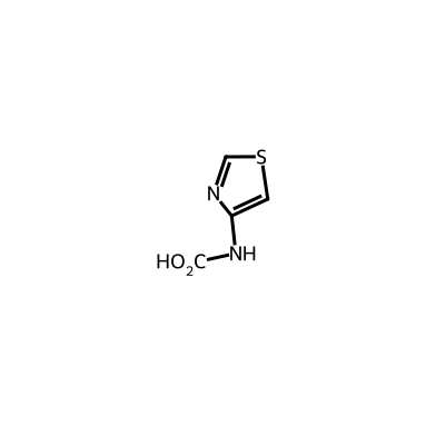 O=C(O)Nc1cscn1